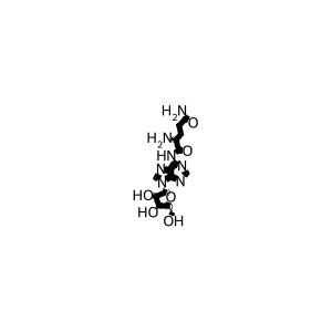 NC(=O)CC[C@H](N)C(=O)Nc1ncnc2c1ncn2[C@@H]1O[C@H](CO)[C@@H](O)[C@H]1O